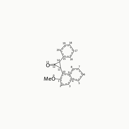 COc1ccc2ccccc2c1C1C(=O)C1c1ccccc1